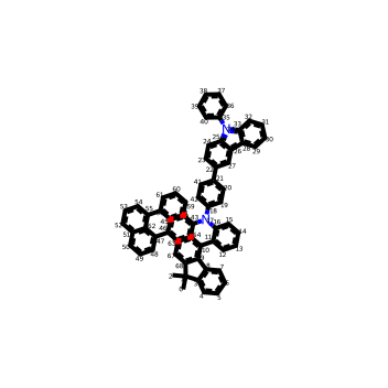 CC1(C)c2ccccc2-c2c(-c3ccccc3N(c3ccc(-c4ccc5c(c4)c4ccccc4n5-c4ccccc4)cc3)c3ccc(-c4cccc5cccc(-c6ccccc6)c45)cc3)cccc21